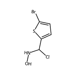 ONC(Cl)c1ccc(Br)s1